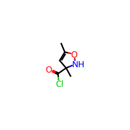 CC1=CC(C)(C(=O)Cl)NO1